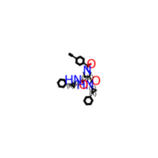 C#Cc1ccc(C(=O)N2C[C@@H](C(=O)N[C@H]3C[C@@H]3c3ccccc3)[C@H](C(=O)N[C@H]3C[C@@H]3c3ccccc3)C2)cc1